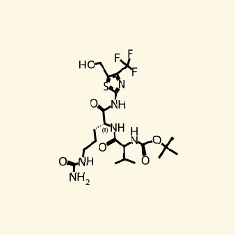 CC(C)C(NC(=O)OC(C)(C)C)C(=O)N[C@H](CCCNC(N)=O)C(=O)Nc1nc(C(F)(F)F)c(CO)s1